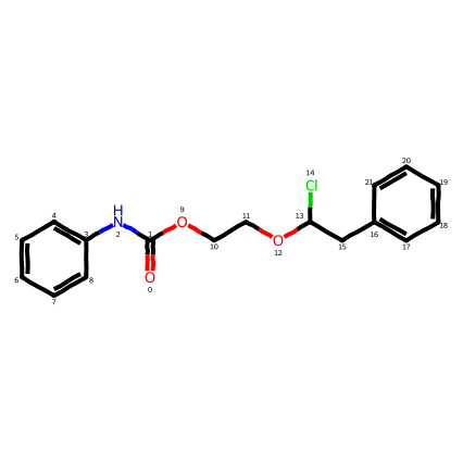 O=C(Nc1ccccc1)OCCOC(Cl)Cc1ccccc1